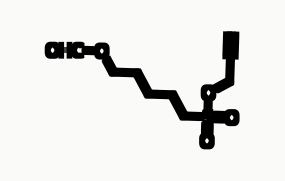 C#CCOS(=O)(=O)CCCCCOC=O